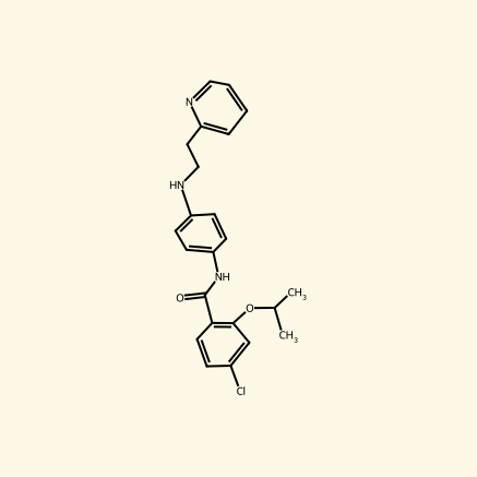 CC(C)Oc1cc(Cl)ccc1C(=O)Nc1ccc(NCCc2ccccn2)cc1